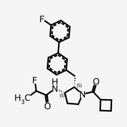 CC(F)C(=O)N[C@H]1CCN(C(=O)C2CCC2)[C@H]1Cc1cccc(-c2cccc(F)c2)c1